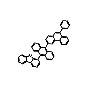 c1ccc(-c2cc3ccc(-c4c5ccccc5c(-c5cccc6c5oc5ccccc56)c5ccccc45)cc3c3ccccc23)cc1